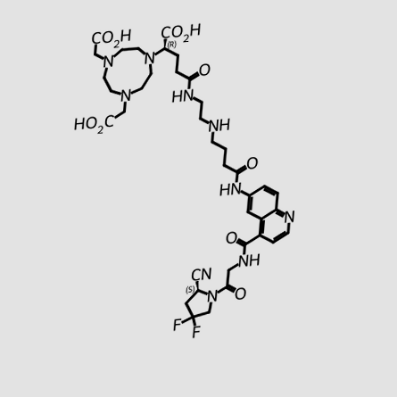 N#C[C@@H]1CC(F)(F)CN1C(=O)CNC(=O)c1ccnc2ccc(NC(=O)CCCNCCNC(=O)CC[C@H](C(=O)O)N3CCN(CC(=O)O)CCN(CC(=O)O)CC3)cc12